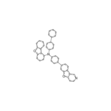 c1ccc(-c2ccc(N(c3ccc(-c4ccc5c(c4)oc4ccncc45)cc3)c3cccc4oc5ccccc5c34)cc2)cc1